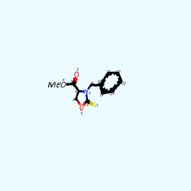 COC(=O)C1COC(=S)N1Cc1ccccc1